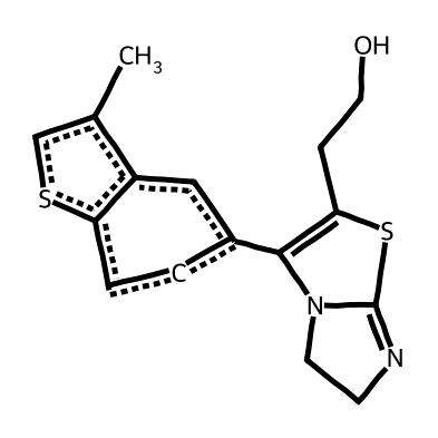 Cc1csc2ccc(C3=C(CCO)SC4=NCCN43)cc12